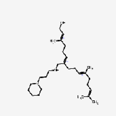 CC(C)=CCC/C(C)=C/CC/C(=C/CC/C(C)=C/CO)CNCCCN1CCCCC1